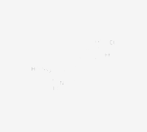 CCC(CC)C(=O)c1ccc(C=CC2=CC(COS(=O)(=O)O)N(C)C=C2)cc1